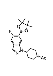 CC(=O)N1CCC(n2ncc3cc(F)c(B4OC(C)(C)C(C)(C)O4)cc32)CC1